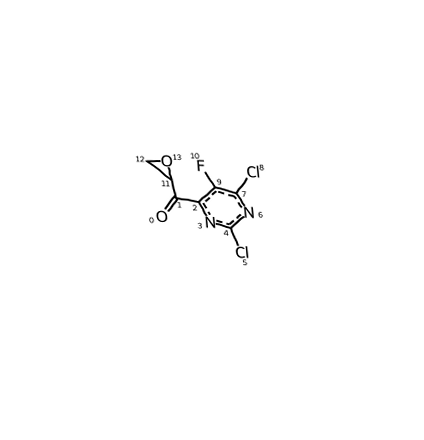 O=C(c1nc(Cl)nc(Cl)c1F)C1CO1